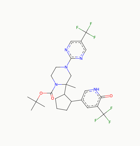 CC(C)(C)OC(=O)N1CCN(c2ncc(C(F)(F)F)cn2)CC1(C)C1CCCC1c1c[nH]c(=O)c(C(F)(F)F)c1